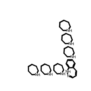 C1=Cc2ccccc2NN=C1.C1CCCNCC1.C1CCCNCC1.C1CCCNCC1.C1CCCNCC1.C1CCCNCC1.C1CCCNCC1